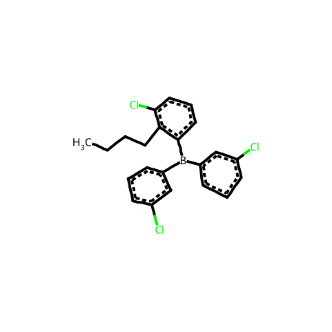 CCCCc1c(Cl)cccc1B(c1cccc(Cl)c1)c1cccc(Cl)c1